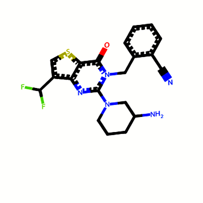 N#Cc1ccccc1Cn1c(N2CCCC(N)C2)nc2c(C(F)F)csc2c1=O